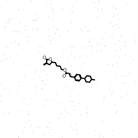 C=C1CC(CCCCOC(=O)/C=C/c2ccc(C3CCC(C)CC3)cc2)OC1=O